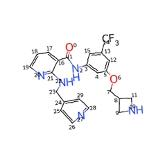 O=C(Nc1cc(OCC2CNC2)cc(C(F)(F)F)c1)c1cccnc1NCc1ccncc1